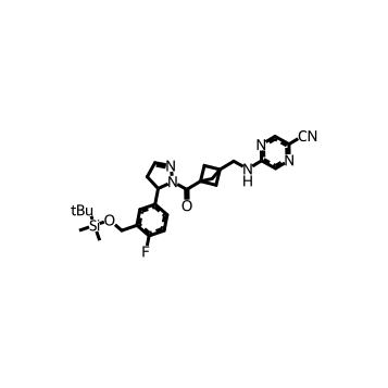 CC(C)(C)[Si](C)(C)OCc1cc(C2CC=NN2C(=O)C23CC(CNc4cnc(C#N)cn4)(C2)C3)ccc1F